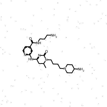 CC1CC(Nc2cc(C(=O)NCCCN)ccn2)=NC(=O)N1CCCCN1CCC(N)CC1